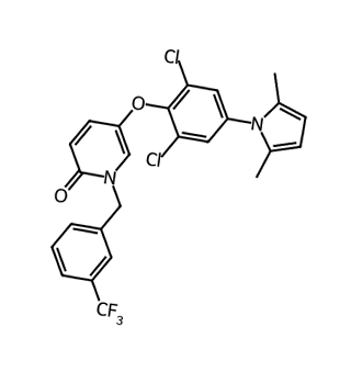 Cc1ccc(C)n1-c1cc(Cl)c(Oc2ccc(=O)n(Cc3cccc(C(F)(F)F)c3)c2)c(Cl)c1